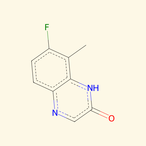 Cc1c(F)ccc2ncc(=O)[nH]c12